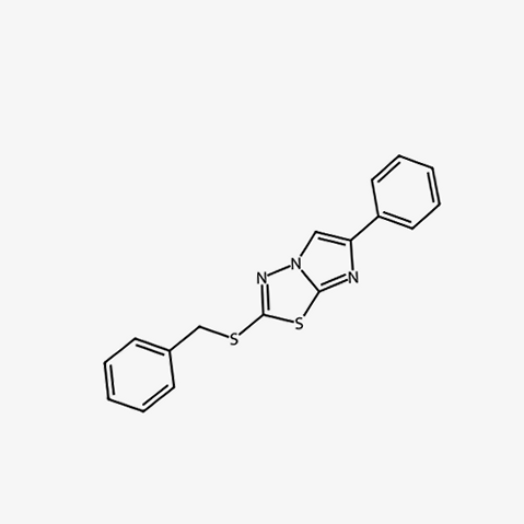 c1ccc(CSc2nn3cc(-c4ccccc4)nc3s2)cc1